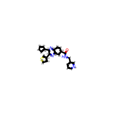 O=C(NCc1cccnc1)c1ccc2nc(C3=CCC=C3)c(-c3ccsc3)nc2c1